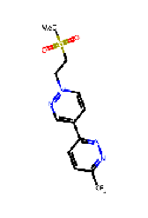 COS(=O)(=O)CC[n+]1ccc(-c2ccc(C(F)(F)F)nn2)cn1